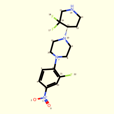 O=[N+]([O-])c1ccc(N2CCN([C@H]3CCNCC3(F)F)CC2)c(F)c1